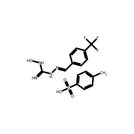 Cc1ccc(S(=O)(=O)O)cc1.N=C(NO)NN=Cc1ccc(C(F)(F)F)cc1